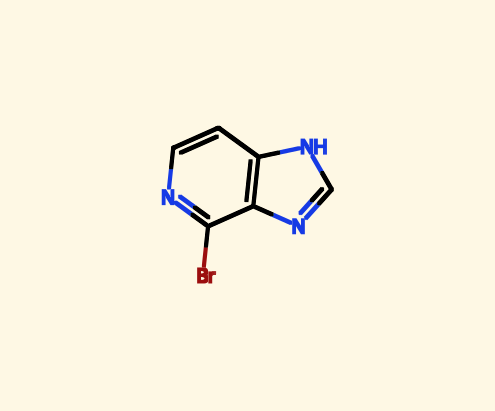 Brc1nccc2[nH]cnc12